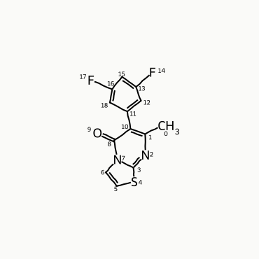 Cc1nc2sccn2c(=O)c1-c1cc(F)cc(F)c1